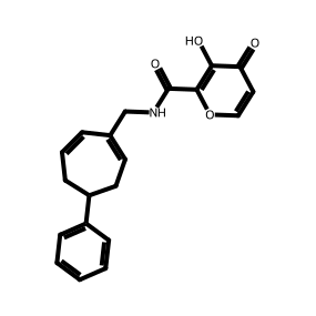 O=C(NCC1=CCC(c2ccccc2)CC=C1)c1occc(=O)c1O